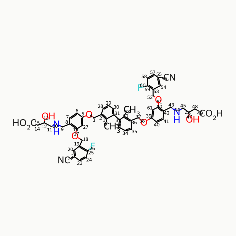 Cc1c(COc2ccc(CNCC(O)CC(=O)O)c(OCc3cc(C#N)ccc3F)c2)cccc1-c1cccc(COc2ccc(CNCC(O)CC(=O)O)c(OCc3cc(C#N)ccc3F)c2)c1C